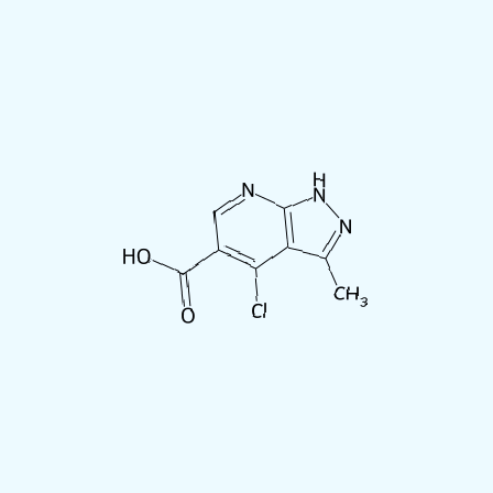 Cc1n[nH]c2ncc(C(=O)O)c(Cl)c12